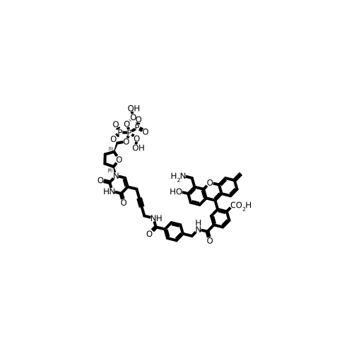 C=c1ccc2c(c1)Oc1c(ccc(O)c1CN)C=2c1cc(C(=O)NCc2ccc(C(=O)NCC#CCc3cn([C@H]4CC[C@@H](COP(OO)(OOO)(P(=O)=O)P(=O)=O)O4)c(=O)[nH]c3=O)cc2)ccc1C(=O)O